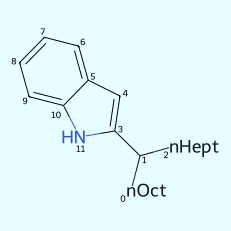 CCCCCCCCC(CCCCCCC)c1cc2ccccc2[nH]1